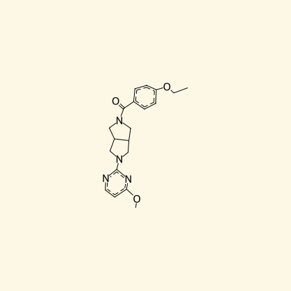 CCOc1ccc(C(=O)N2CC3CN(c4nccc(OC)n4)CC3C2)cc1